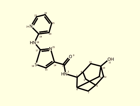 O=C(NC1C2CC3CC1CC(O)(C3)C2)c1csc(Nc2ccccn2)n1